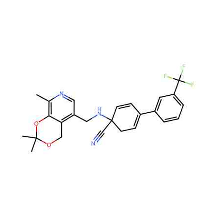 Cc1ncc(CNC2(C#N)C=CC(c3cccc(C(F)(F)F)c3)=CC2)c2c1OC(C)(C)OC2